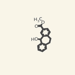 COC(=O)c1ccc2c(c1)C(O)c1ccccc1CC2